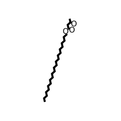 CCCCCCCCCCCCCCCCCCCCCCCOC(=O)CC(C)=O